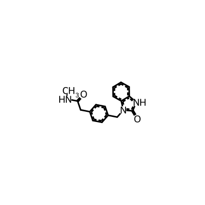 CNC(=O)Cc1ccc(Cn2c(=O)[nH]c3ccccc32)cc1